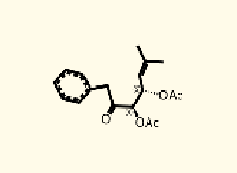 CC(=O)O[C@@H](C=C(C)C)[C@@H](OC(C)=O)C(=O)Cc1ccccc1